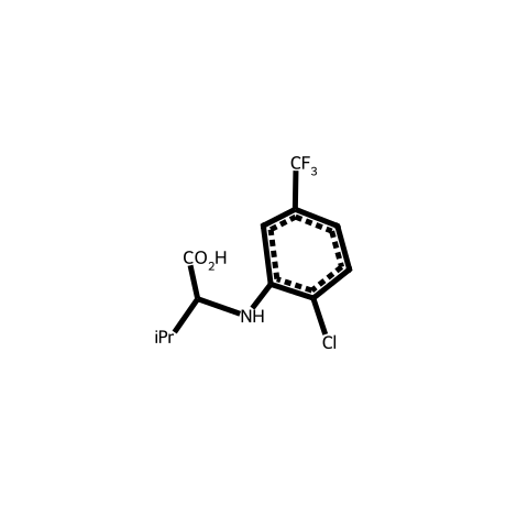 CC(C)C(Nc1cc(C(F)(F)F)ccc1Cl)C(=O)O